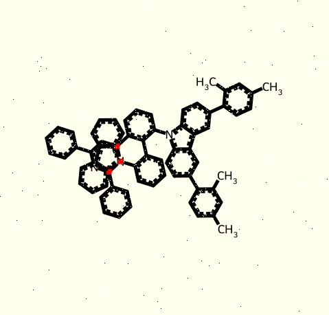 Cc1ccc(-c2ccc3c(c2)c2cc(-c4ccc(C)cc4C)ccc2n3-c2cccc(-c3cc(-c4ccccc4)nc(-c4ccccc4)n3)c2-c2ccccc2-n2c3ccccc3c3ccccc32)c(C)c1